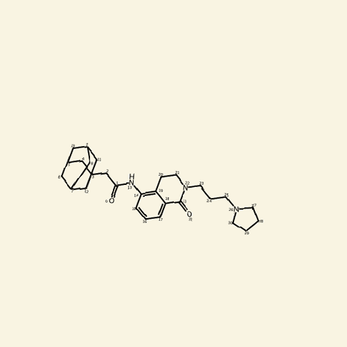 O=C(CC12CC3CC(CC(C3)C1)C2)Nc1cccc2c1CCN(CCCN1CCCC1)C2=O